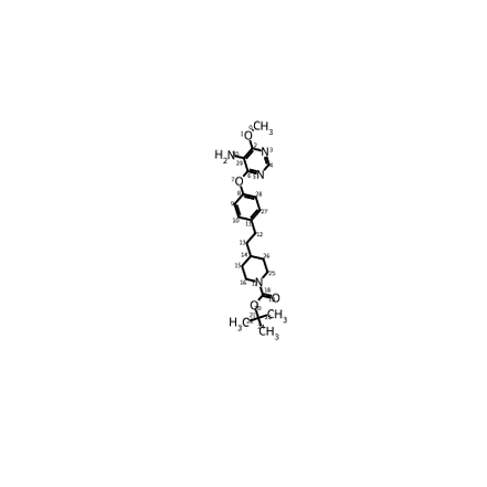 COc1ncnc(Oc2ccc(CCC3CCN(C(=O)OC(C)(C)C)CC3)cc2)c1N